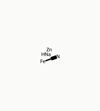 N#[C][Fe].[NaH].[Zn]